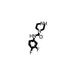 O=C(Nc1ccc(F)c(F)c1)N1CCNCC1